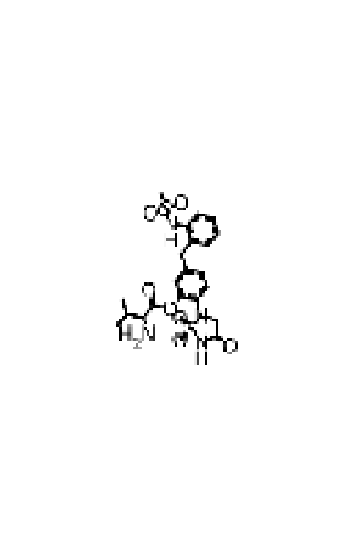 CC(C)C(N)C(=O)Oc1cc(Cc2ccccc2NS(C)(=O)=O)ccc1N1CC(=O)NS1(=O)=O